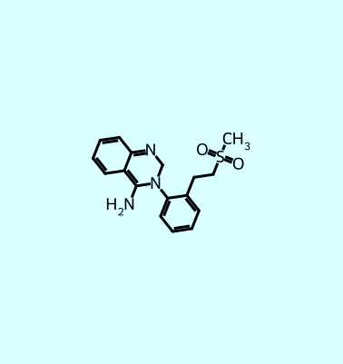 CS(=O)(=O)CCc1ccccc1N1CN=c2ccccc2=C1N